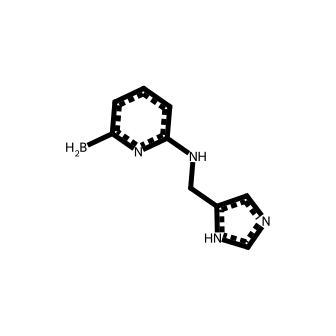 Bc1cccc(NCc2cnc[nH]2)n1